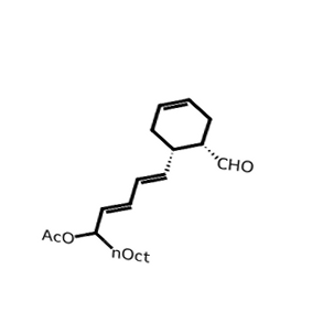 CCCCCCCCC(/C=C/C=C/[C@@H]1CC=CC[C@@H]1C=O)OC(C)=O